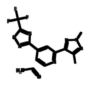 Cc1nn(C)nc1-c1cc(-c2noc(C(F)(F)F)n2)ccn1.NC=O